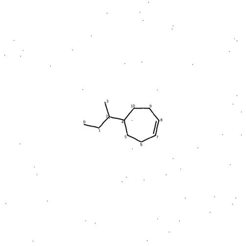 CC[C](C)C1CCC=CCC1